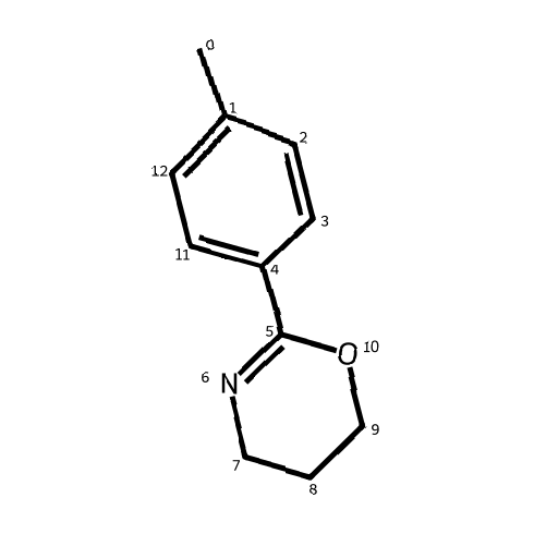 Cc1ccc(C2=NCCCO2)cc1